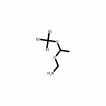 CCC(CC)(CC)OC(C)OCN